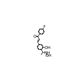 CC(NO)c1ccc(/C=C/C(=O)c2ccc(F)cc2)cc1O